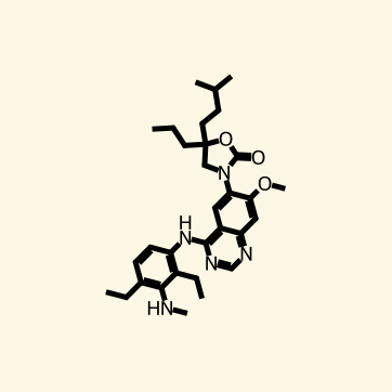 CCCC1(CCC(C)C)CN(c2cc3c(Nc4ccc(CC)c(NC)c4CC)ncnc3cc2OC)C(=O)O1